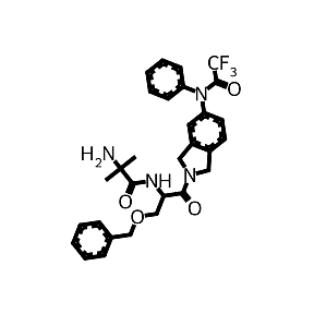 CC(C)(N)C(=O)NC(COCc1ccccc1)C(=O)N1Cc2ccc(N(C(=O)C(F)(F)F)c3ccccc3)cc2C1